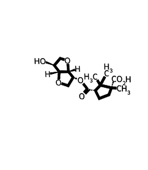 CC1(C)[C@@H](C(=O)O[C@@H]2CO[C@H]3[C@@H]2OC[C@@H]3O)CC[C@@]1(C)C(=O)O